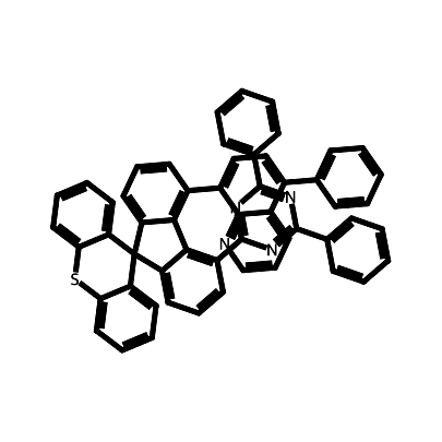 c1ccc(-c2nc(-c3ccccc3)nc(-c3cccc4c3-c3c(-c5ccc(-c6ccccc6)c6cccnc56)cccc3C43c4ccccc4Sc4ccccc43)n2)cc1